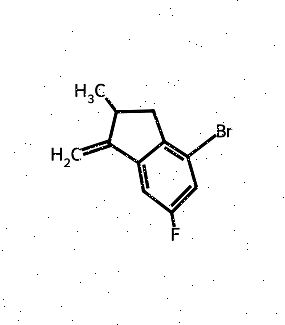 C=C1c2cc(F)cc(Br)c2CC1C